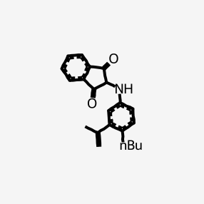 C=C(C)c1cc(NC2C(=O)c3ccccc3C2=O)ccc1CCCC